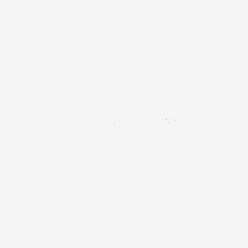 C=CCOC(=O)C/C=C/COC